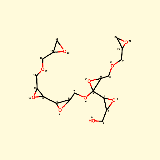 OCC1OC1C1(OCC2OC2C2OC2COCC2CO2)OC1COCC1CO1